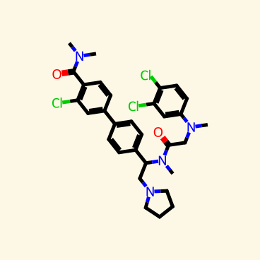 CN(C)C(=O)c1ccc(-c2ccc(C(CN3CCCC3)N(C)C(=O)CN(C)c3ccc(Cl)c(Cl)c3)cc2)cc1Cl